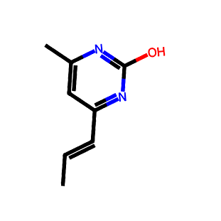 CC=Cc1cc(C)nc(O)n1